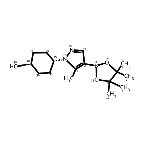 Cc1c(B2OC(C)(C)C(C)(C)O2)cnn1[C@H]1CC[C@H](O)CC1